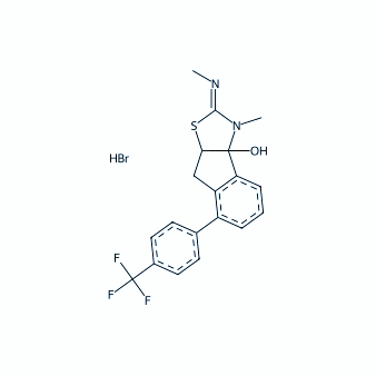 Br.C/N=C1\SC2Cc3c(-c4ccc(C(F)(F)F)cc4)cccc3C2(O)N1C